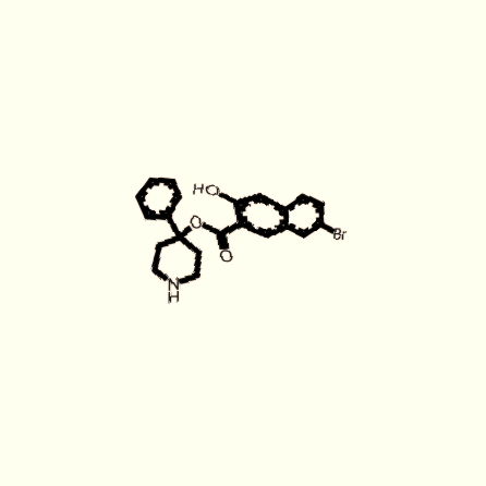 O=C(OC1(c2ccccc2)CCNCC1)c1cc2cc(Br)ccc2cc1O